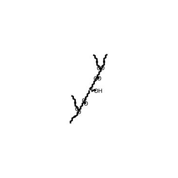 CCCCC#CCCOC(CCCCC(=O)OCCCCCCN(CCO)CCCCCCOC(=O)CCCCC(OCCC#CCCCC)OCCC#CCCCC)OCCC#CCCCC